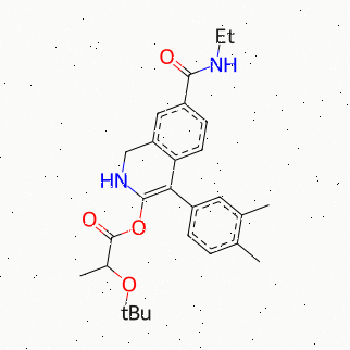 CCNC(=O)c1ccc2c(c1)CNC(OC(=O)C(C)OC(C)(C)C)=C2c1ccc(C)c(C)c1